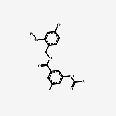 CCNc1cc(C#N)ccc1CNC(=O)c1cc(Cl)cc(NC(=O)C(C)C)c1